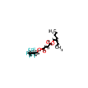 CCCCC(CC)COC(=O)C=CC(=O)OCC(F)(F)C(F)(F)C(F)(F)F